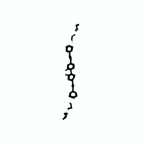 C=CC(=O)OCCC(=O)Sc1ccc(C#Cc2ccc(-c3ccc(C#Cc4ccc(SC(=O)CCOC(=O)C=C)cc4)cc3C)c(C)c2)cc1